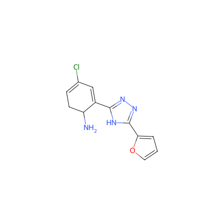 NC1CC=C(Cl)C=C1c1nnc(-c2ccco2)[nH]1